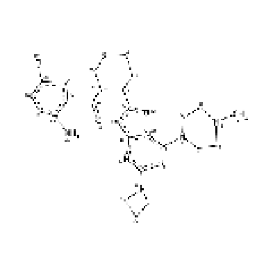 CN1CCN(c2cc(N3CCC3)nc3cc(C4CCCCN4C(=O)c4cc(Cl)ccc4N)nn23)CC1